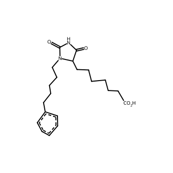 O=C(O)CCCCCCC1C(=O)NC(=O)N1CCCCCc1ccccc1